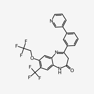 O=C1CC(c2cccc(-c3cccnc3)c2)=Nc2cc(OCC(F)(F)F)c(C(F)(F)F)cc2N1